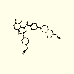 N#CCC1CCN(c2nc(Nc3ccc(N4CCN(CC(O)CO)CC4)cc3)c3c(=O)[nH]ncc3n2)CC1